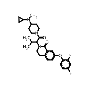 CC(C)C(C(=O)N1CCC(N(C)C2CC2)CC1)N1CCc2ccc(Oc3ccc(F)cc3F)cc2C1=O